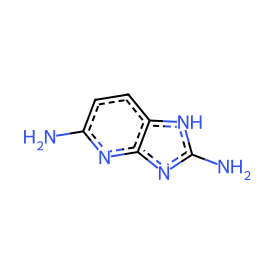 Nc1ccc2[nH]c(N)nc2n1